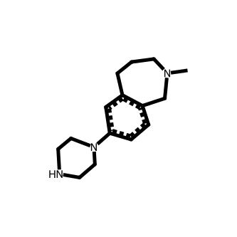 CN1CCCc2cc(N3CCNCC3)ccc2C1